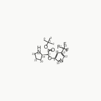 CC(C)(C)OC(=O)C(Oc1cncc(C(F)(F)F)c1)[C@H]1CCCN1